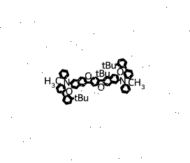 Cc1ccccc1N(c1ccc2cc3c(cc2c1)oc1c(C(C)(C)C)c2c(cc13)oc1cc3cc(N(c4ccccc4C)c4cccc5c4oc4c(C(C)(C)C)cccc45)ccc3cc12)c1cccc2c1oc1c(C(C)(C)C)cccc12